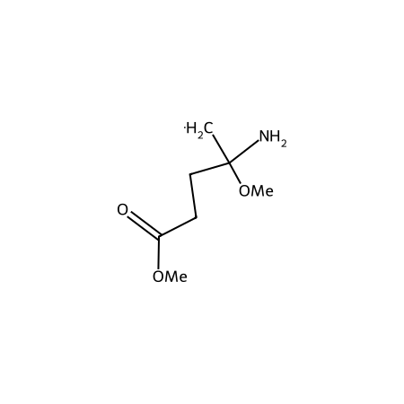 [CH2]C(N)(CCC(=O)OC)OC